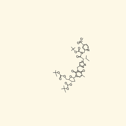 Cc1cn(C2C[C@H](OC(=O)OC(C)(C)C)C(COC(=O)OC(C)(C)C)O2)c(=O)n(Cc2cn([C@H](C(=O)N(Cc3cc([N+](=O)[O-])ccn3)C(=O)OC(C)(C)C)C(C)C)nn2)c1=O